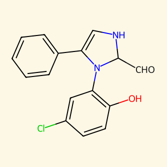 O=CC1NC=C(c2ccccc2)N1c1cc(Cl)ccc1O